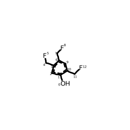 Oc1cc(CF)c(CF)cc1CF